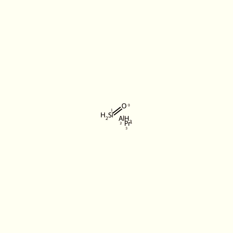 O=[SiH2].[AlH3].[Pr]